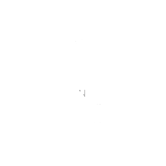 O=c1c2ccccc2c2coc3c2n1Cc1ccccc1-3